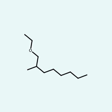 CCCCCCC(C)COCC